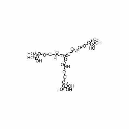 CC1C(OCCOCCOCCNC(=O)CCOCC(C)(COCCC(=O)NCCOCCOCCOC2OC(CO)C(O)C(O)C2C)COCCC(=O)NCCOCCOCCOC2OC(CO)C(O)C(O)C2C)OC(CO)C(O)C1O